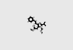 COC=S1C(C(C)C)=NC(C=Cc2ccccc2)=C1CC(=O)OC